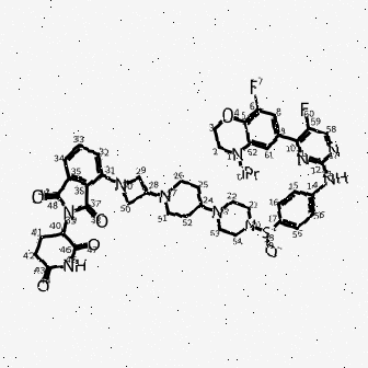 CC(C)N1CCOc2c(F)cc(-c3nc(Nc4ccc([S+]([O-])N5CCN(C6CCN(C7CN(c8cccc9c8C(=O)N(C8CCC(=O)NC8=O)C9=O)C7)CC6)CC5)cc4)ncc3F)cc21